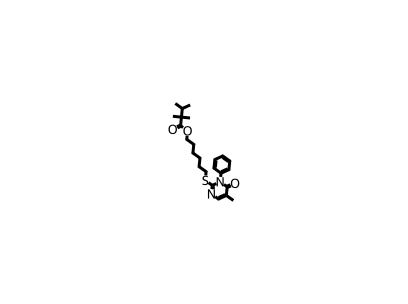 Cc1cnc(SCCCCCCOC(=O)C(C)(C)C(C)C)n(-c2ccccc2)c1=O